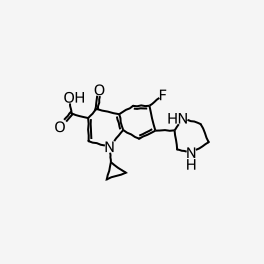 O=C(O)c1cn(C2CC2)c2cc(C3CNCCN3)c(F)cc2c1=O